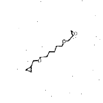 C(CCCOCC1CO1)CCOCC1CC1